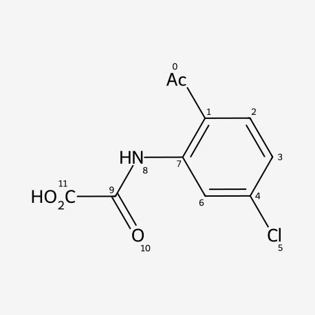 CC(=O)c1ccc(Cl)cc1NC(=O)C(=O)O